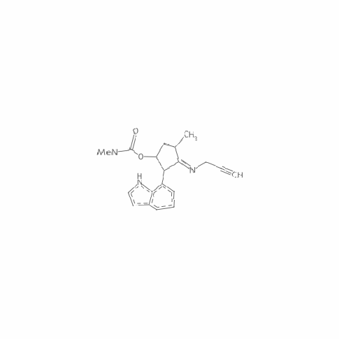 C#CCN=C1C(C)CC(OC(=O)NC)C1c1cccc2cc[nH]c12